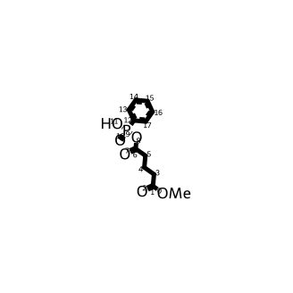 COC(=O)CCCC(=O)OP(=O)(O)c1ccccc1